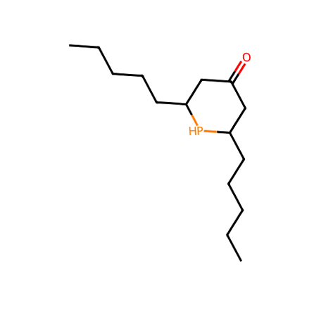 CCCCCC1CC(=O)CC(CCCCC)P1